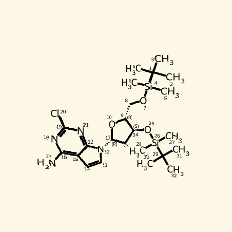 CC(C)(C)[Si](C)(C)OC[C@H]1O[C@@H](n2ccc3c(N)nc(Cl)nc32)C[C@@H]1O[Si](C)(C)C(C)(C)C